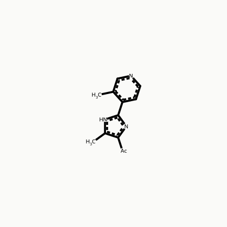 CC(=O)c1nc(-c2ccncc2C)[nH]c1C